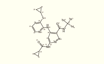 [2H]C([2H])([2H])NC(=O)c1nnc(NC(=O)C2CC2)cc1Nc1ncccc1SC1CC1